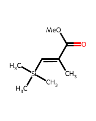 COC(=O)C(C)=C[Si](C)(C)C